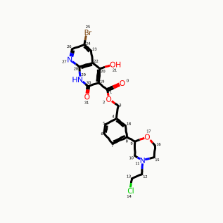 O=C(OCc1cccc(C2CN(CCCl)CCO2)c1)c1c(O)c2cc(Br)cnc2[nH]c1=O